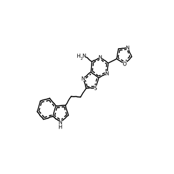 Nc1nc(-c2cnco2)nc2sc(CCc3c[nH]c4ccccc34)nc12